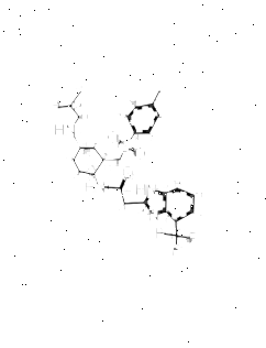 Cc1ccc(S(=O)(=O)C[C@@H]2C[C@H](NCC(C)C)CC[C@@H]2NC(=O)Cc2nc3c(C(F)(F)F)cccc3[nH]2)cc1